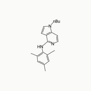 CCCCn1ccc2c(Nc3c(C)cc(C)cc3C)nccc21